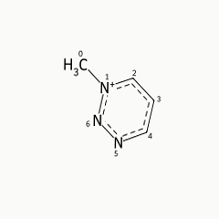 C[n+]1cccnn1